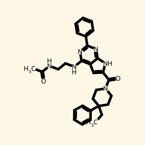 CCC1(c2ccccc2)CCN(C(=O)c2cc3c(NCCNC(C)=O)nc(-c4ccccc4)nc3[nH]2)CC1